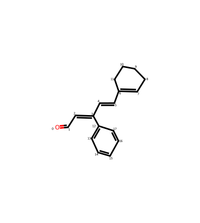 O=C/C=C(/C=C/C1=CCCCC1)c1ccccc1